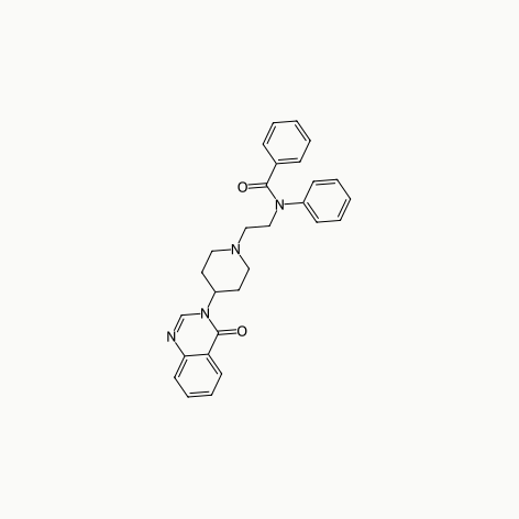 O=C(c1ccccc1)N(CCN1CCC(n2cnc3ccccc3c2=O)CC1)c1ccccc1